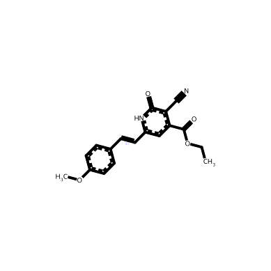 CCOC(=O)c1cc(/C=C/c2ccc(OC)cc2)[nH]c(=O)c1C#N